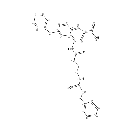 O=C(NCCOC(=O)Nc1cc(C(=O)O)nc2ccc(Cc3ccccc3)cc12)OCc1ccccc1